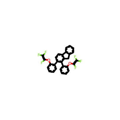 FC(F)=C(F)Oc1ccccc1-c1ccc2c(c1-c1ccccc1OC(F)=C(F)F)Cc1ccccc1-2